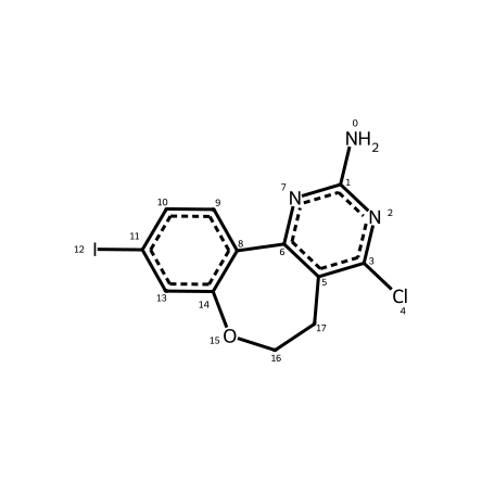 Nc1nc(Cl)c2c(n1)-c1ccc(I)cc1OCC2